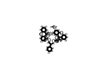 CBr.O=C(OC=C(COC(=O)OC1(C(F)F)c2ccccc2Oc2ccccc21)c1ccccc1)OC1(CO)c2ccccc2Oc2ccccc21